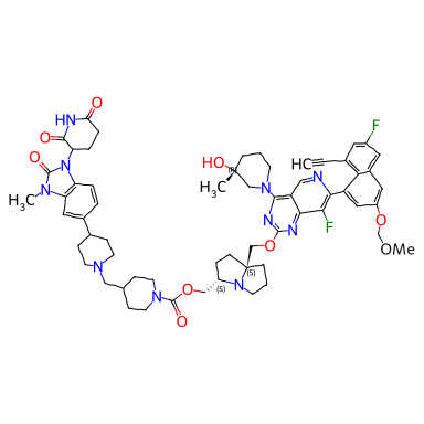 C#Cc1cc(F)cc2cc(OCOC)cc(-c3ncc4c(N5CCC[C@@](C)(O)C5)nc(OC[C@@]56CCCN5[C@H](COC(=O)N5CCC(CN7CCC(c8ccc9c(c8)n(C)c(=O)n9C8CCC(=O)NC8=O)CC7)CC5)CC6)nc4c3F)c12